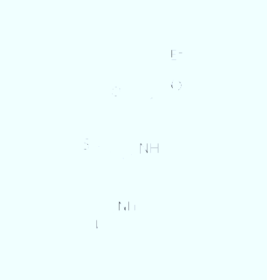 CCOC(=O)NC(=S)NI